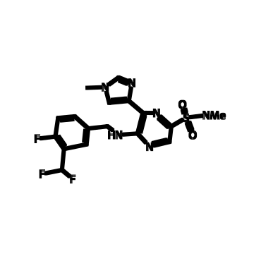 CNS(=O)(=O)c1cnc(NCc2ccc(F)c(C(F)F)c2)c(-c2cn(C)cn2)n1